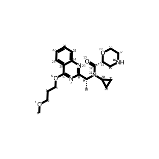 COCCCOc1nc([C@@H](C)N(C(=O)[C@H]2CNCCO2)C2CC2)nc2ccccc12